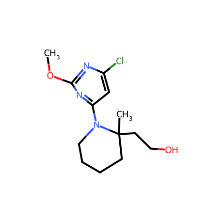 COc1nc(Cl)cc(N2CCCCC2(C)CCO)n1